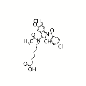 COc1ccc2c(c1)c(N(CCCCCCCC(=O)O)C(C)=O)c(C)n2C(=O)c1ccc(Cl)cc1